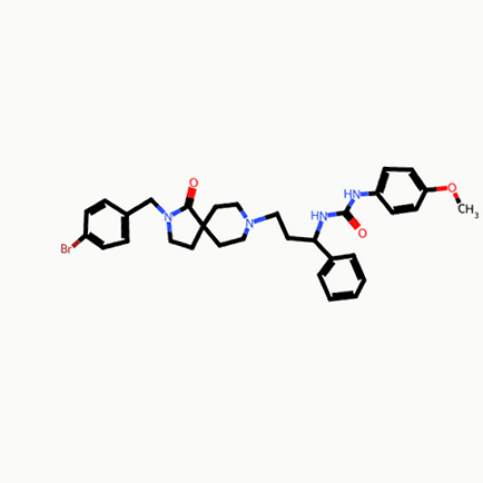 COc1ccc(NC(=O)NC(CCN2CCC3(CC2)CCN(Cc2ccc(Br)cc2)C3=O)c2ccccc2)cc1